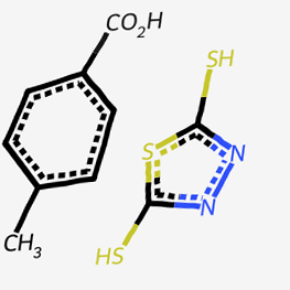 Cc1ccc(C(=O)O)cc1.Sc1nnc(S)s1